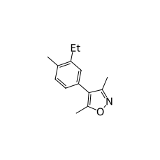 CCc1cc(-c2c(C)noc2C)ccc1C